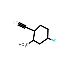 C#CC1CCC(F)CC1C(=O)O